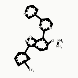 FC(F)(F)c1cccc(-c2noc3c(-c4nccc(-c5cccnc5)n4)c(Cl)ccc23)c1.NN